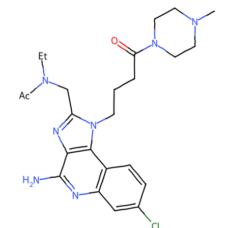 CCN(Cc1nc2c(N)nc3cc(Cl)ccc3c2n1CCCC(=O)N1CCN(C)CC1)C(C)=O